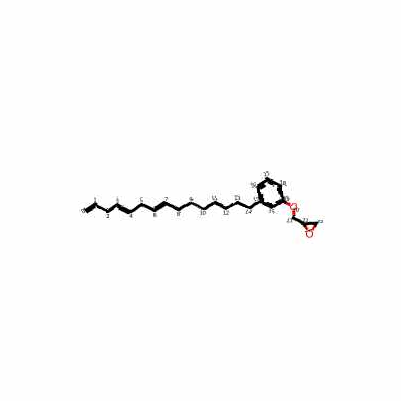 C=CC/C=C/C/C=C/CCCCCCCc1cccc(OCC2CO2)c1